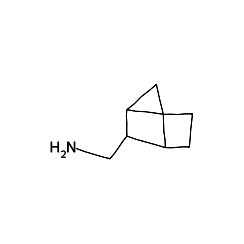 NCC1C2CCC23CC13